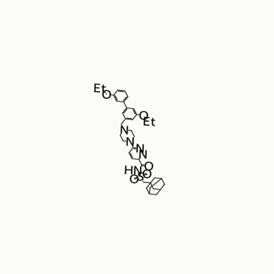 CCOc1cccc(-c2cc(CN3CCN(c4ccc(C(=O)NS(=O)(=O)CC56CC7CC(CC(C7)C5)C6)nn4)CC3)cc(OCC)c2)c1